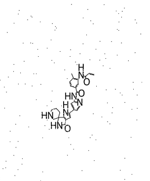 C=CC(=O)Nc1cc(C(=O)Nc2cc(-c3cc4c([nH]3)C3(CCCNC3)CNC4=O)ccn2)ccc1C